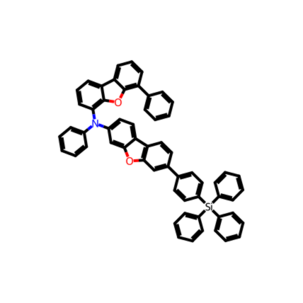 c1ccc(-c2cccc3c2oc2c(N(c4ccccc4)c4ccc5c(c4)oc4cc(-c6ccc([Si](c7ccccc7)(c7ccccc7)c7ccccc7)cc6)ccc45)cccc23)cc1